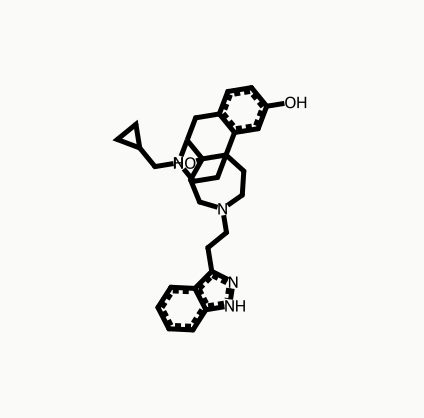 Oc1ccc2c(c1)C13CCN(CCc4n[nH]c5ccccc45)CCC1(O)C(C2)N(CC1CC1)CC3